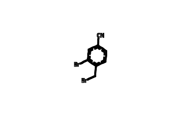 N#Cc1ccc(CBr)c(Br)c1